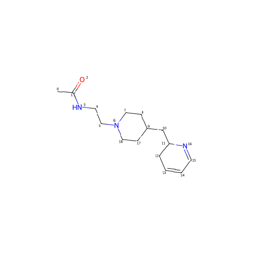 CC(=O)NCCN1CCC(CC2CC=CC=N2)CC1